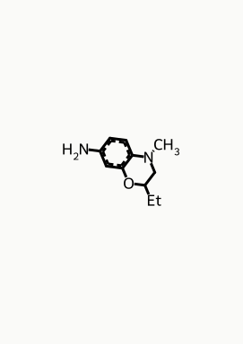 CCC1CN(C)c2ccc(N)cc2O1